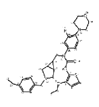 CCOc1ccsc1OC(=O)N(CC1C2CN(Cc3ccc(CC)cc3)CC21)c1ccc(N2CCOCC2)c(F)c1